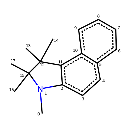 CN1c2ccc3ccccc3c2C(C)(C)C1(C)C